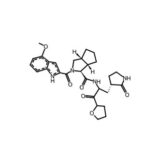 COc1cccc2[nH]c(C(=O)N3C[C@@H]4CCC[C@@H]4[C@H]3C(=O)NC(C[C@@H]3CCNC3=O)C(=O)C3CCCO3)cc12